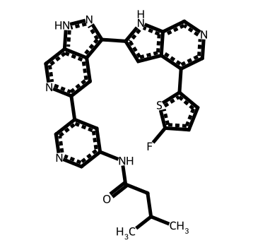 CC(C)CC(=O)Nc1cncc(-c2cc3c(-c4cc5c(-c6ccc(F)s6)cncc5[nH]4)n[nH]c3cn2)c1